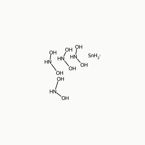 ONO.ONO.ONO.ONO.[SnH2]